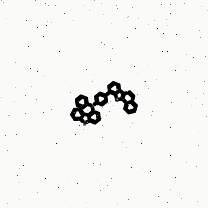 c1ccc(N(c2ccc(-c3cccc4c3oc3c5ccccc5ccc43)cc2)c2cccc3sc4ccccc4c23)cc1